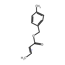 C/C=C/C(=O)OCc1ccc(C)cc1